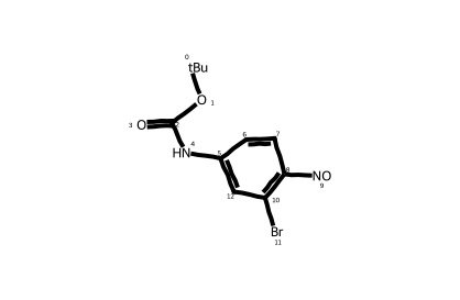 CC(C)(C)OC(=O)Nc1ccc(N=O)c(Br)c1